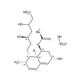 CC[C@H](C)C(=O)O[C@H]1C[C@H](O)C=C2C=C[C@H](C)[C@H](CC[C@@H](O)CC(O)CC(=O)O)[C@H]21.O=S(=O)(O)O